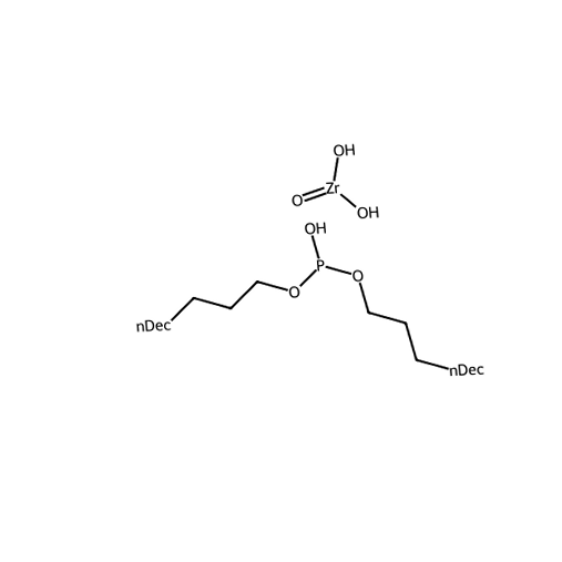 CCCCCCCCCCCCCOP(O)OCCCCCCCCCCCCC.[O]=[Zr]([OH])[OH]